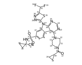 N#CC1(NS(=O)(=O)c2ccc3c4c(N5CCN(C(=O)C6CC6)CC5)ncnc4n(-c4nnc(C(F)F)s4)c3c2)CC1